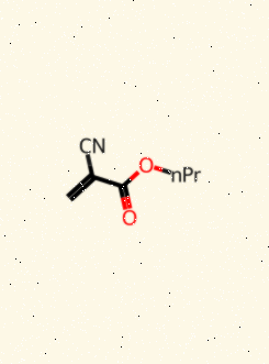 C=C(C#N)C(=O)OCCC